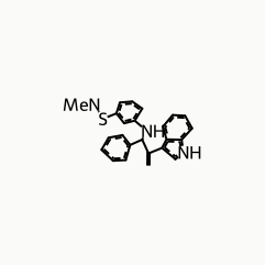 C=C(c1c[nH]c2ccccc12)C(Nc1cccc(SNC)c1)c1ccccc1